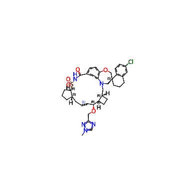 Cn1cnc(CO[C@H]2/C=C/C[C@@H]3CCC[C@H]3S(=O)(=O)NC(=O)c3ccc4c(c3)N(C[C@@H]3CC[C@H]32)C[C@@]2(CCCc3cc(Cl)ccc32)CO4)n1